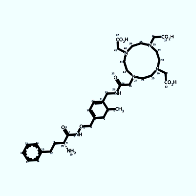 CC1CC(CONC(=O)[C@H](N)CCc2ccccc2)=CC=C1CNC(=O)CN1CCN(CC(=O)O)CCN(CC(=O)O)CCN(CC(=O)O)CC1